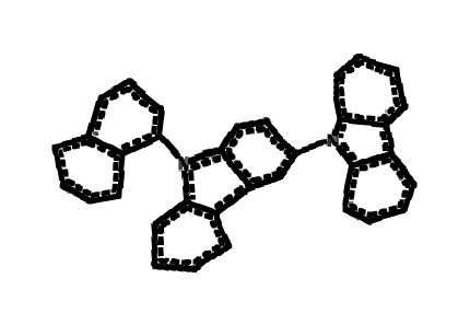 c1ccc2c(-n3c4ccccc4c4cc(-n5c6ccccc6c6ccccc65)ccc43)cccc2c1